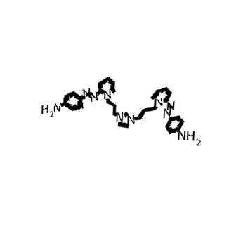 Nc1ccc(/N=N/c2cccc[n+]2CCCn2cc[n+](CCC[n+]3ccccc3/N=N/c3ccc(N)cc3)c2)cc1